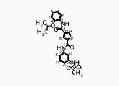 CC(C)Oc1ccccc1NC(=O)c1csc(C(=O)Nc2cccc(NS(C)(=O)=O)c2)c1